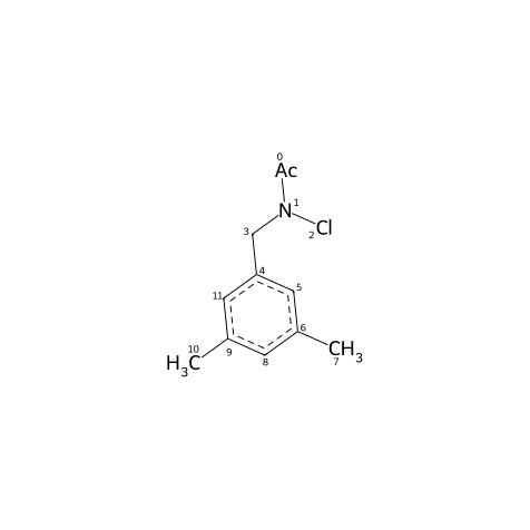 CC(=O)N(Cl)Cc1cc(C)cc(C)c1